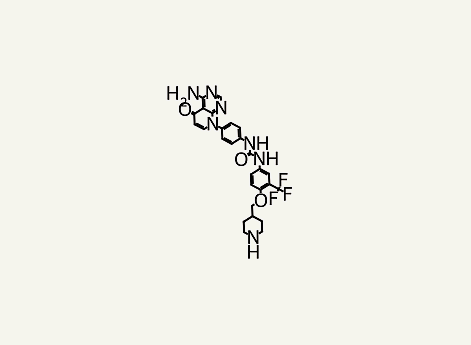 Nc1ncnc2c1c(=O)ccn2-c1ccc(NC(=O)Nc2ccc(OCC3CCNCC3)c(C(F)(F)F)c2)cc1